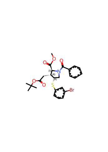 COC(=O)[C@@H]1[C@@H](CC(=O)OC(C)(C)C)[C@@H](Sc2cccc(Br)c2)CN1C(=O)c1ccccc1